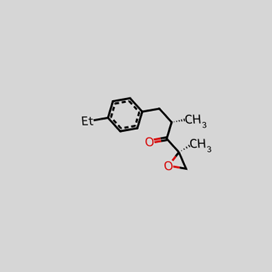 CCc1ccc(C[C@H](C)C(=O)[C@@]2(C)CO2)cc1